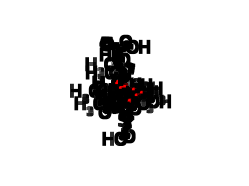 CCC(C)[C@@H](C(=O)N[C@H](C(=O)N(C)[C@@H](C(C)CC)[C@@H](CC(=O)N1CCC[C@H]1[C@H](OC)[C@@H](C)C(=O)NC(CC(=O)O)Cc1ccccc1)OC)C(C)C)N(C)C(=O)OCc1ccc(O[C@@H]2O[C@H](CO)[C@H](O)[C@H](O)[C@H]2O)c2cc(CCC(=O)O)sc12